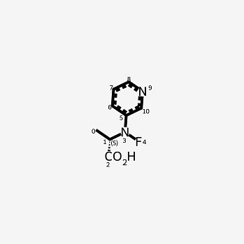 C[C@@H](C(=O)O)N(F)c1cccnc1